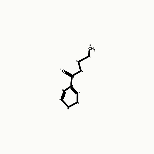 CCCCC(=O)C1=CCCC=C1